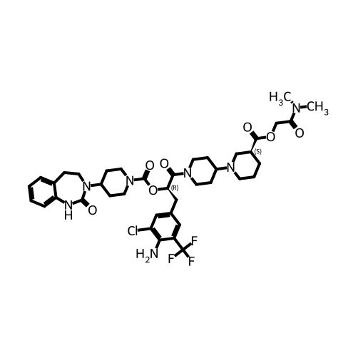 CN(C)C(=O)COC(=O)[C@H]1CCCN(C2CCN(C(=O)[C@@H](Cc3cc(Cl)c(N)c(C(F)(F)F)c3)OC(=O)N3CCC(N4CCc5ccccc5NC4=O)CC3)CC2)C1